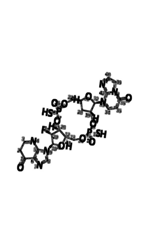 O=C1CC=Nc2c1ncn2[C@@H]1O[C@@H]2CO[P@@](=O)(S)O[C@@H]3C[C@@H](COP(=O)(S)O[C@H]2[C@@H]1F)O[C@H]3n1ccc(=O)n2ccnc12